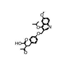 COc1ccc2ncc(COc3ccc(CC(C(C)=O)C(=O)O)cc3)c(OC(C)C)c2c1